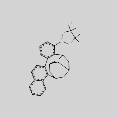 CC1(C)OB(c2cccc3c2C2CC4CC(C2)CC(C4)c2c-3ccc3ccccc23)OC1(C)C